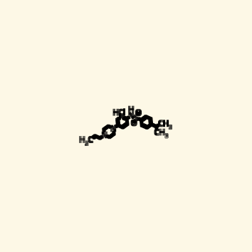 C=CCN1CCN(c2ccc(NS(=O)(=O)c3ccc(C(C)C)cc3)nc2)CC1.Cl